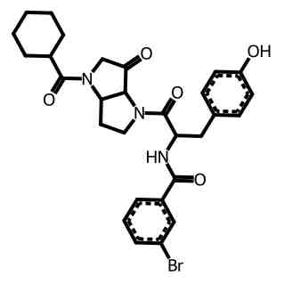 O=C(NC(Cc1ccc(O)cc1)C(=O)N1CCC2C1C(=O)CN2C(=O)C1CCCCC1)c1cccc(Br)c1